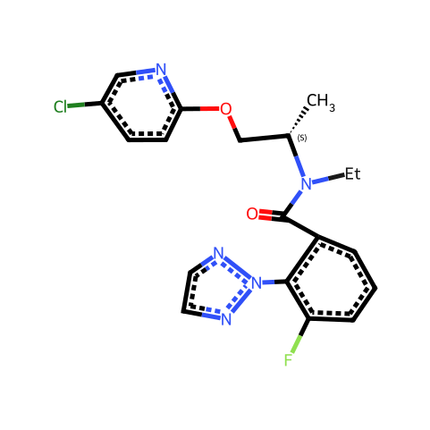 CCN(C(=O)c1cccc(F)c1-n1nccn1)[C@@H](C)COc1ccc(Cl)cn1